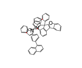 c1ccc(N(c2ccc(-c3cccc4ccccc34)cc2)c2ccc3c(c2)C2(c4ccccc4-3)c3oc4ccccc4c3-c3cccc(N(c4ccccc4)c4ccccc4)c32)cc1